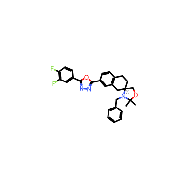 CC1(C)OC[C@@]2(CCc3ccc(-c4nnc(-c5ccc(F)c(F)c5)o4)cc3C2)N1Cc1ccccc1